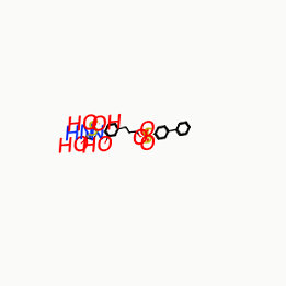 O=S(=O)(OCCCc1ccc(N2CC(O)NS2(O)O)c(O)c1)c1ccc(-c2ccccc2)cc1